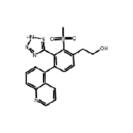 CS(=O)(=O)c1c(CCO)ccc(-c2cccc3ncccc23)c1-c1nn[nH]n1